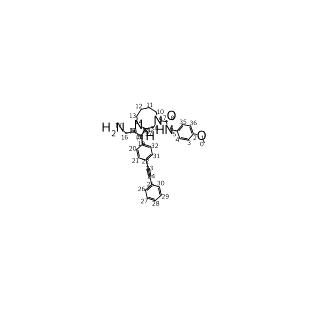 COc1ccc(NC(=O)N2CCCCN3[C@H](CN)[C@H](c4ccc(C#Cc5ccccc5)cc4)[C@@H]3C2)cc1